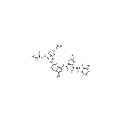 CC(=O)c1cn(CC(=O)N2C[C@H](F)C[C@H]2C(=O)NCc2cccc(Cl)c2F)c2cc(OCP(=O)(OCOC(=O)O)OCOC(=O)OC(C)C)ccc12